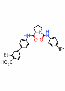 CCc1cc(-c2ccc(NC(=O)[C@H]3CCCN3C(=O)Nc3ccc(C(C)C)cc3)cc2)ccc1C(=O)O